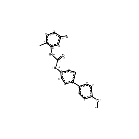 COc1ccc(-c2ccc(NC(=O)Nc3cc(C)ccc3C)cc2)cc1